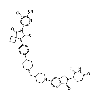 N#Cc1ncc(N2C(=O)C3(CCC3)N(c3ccc(C4CCN(CC5CCN(c6ccc7c(c6)CN(C6CCC(=O)NC6=O)C7=O)CC5)CC4)cc3)C2=S)cc1Cl